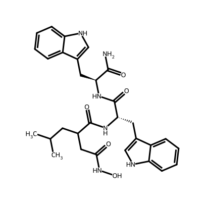 CC(C)CC(CC(=O)NO)C(=O)N[C@@H](Cc1c[nH]c2ccccc12)C(=O)N[C@@H](Cc1c[nH]c2ccccc12)C(N)=O